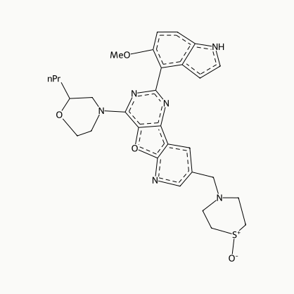 CCCC1CN(c2nc(-c3c(OC)ccc4[nH]ccc34)nc3c2oc2ncc(CN4CC[S+]([O-])CC4)cc23)CCO1